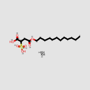 CCCCCCCCCCCCOC(=O)CC(C(=O)O)S(=O)(=O)O.[KH].[KH]